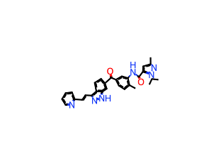 Cc1cc(C(=O)Nc2cc(C(=O)c3ccc4c(/C=C/c5ccccn5)n[nH]c4c3)ccc2C)n(C(C)C)n1